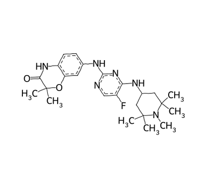 CN1C(C)(C)CC(Nc2nc(Nc3ccc4c(c3)OC(C)(C)C(=O)N4)ncc2F)CC1(C)C